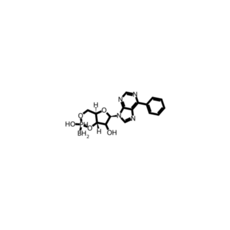 B[PH]1(O)OC[C@H]2O[C@@H](n3cnc4c(-c5ccccc5)ncnc43)C(O)[C@@H]2O1